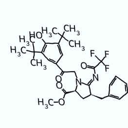 COC(=O)[C@@H]1C[C@H](Cc2ccccc2)C(=NC(=O)C(F)(F)F)N1CC(=O)c1cc(C(C)(C)C)c(O)c(C(C)(C)C)c1